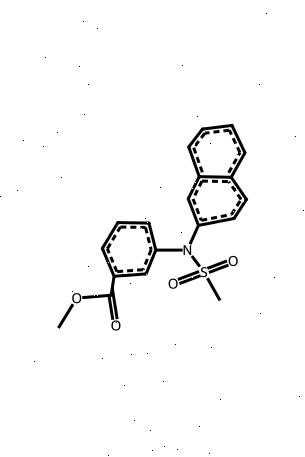 COC(=O)c1cccc(N(c2ccc3ccccc3c2)S(C)(=O)=O)c1